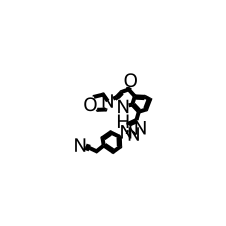 N#CCc1ccc(-n2cc(-c3cccc4c(=O)cc(N5CCOCC5)[nH]c34)nn2)cc1